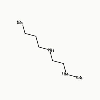 CCCCNCCNCCCC(C)(C)C